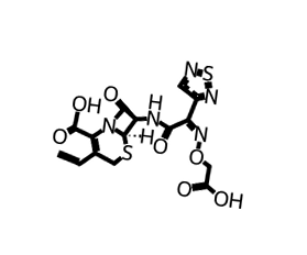 C=CC1=C(C(=O)O)N2C(=O)C(NC(=O)/C(=N\OCC(=O)O)c3cnsn3)[C@H]2SC1